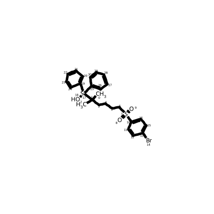 CC(C)(CCCCS(=O)(=O)c1ccc(Br)cc1)[Si](O)(c1ccccc1)c1ccccc1